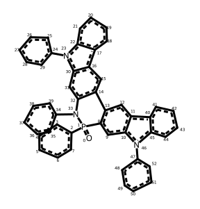 O=P1(c2ccccc2)c2cc3c(cc2-c2cc4c5ccccc5n(-c5ccccc5)c4cc2N1c1ccccc1)c1ccccc1n3-c1ccccc1